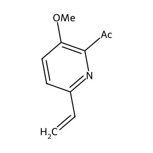 C=Cc1ccc(OC)c(C(C)=O)n1